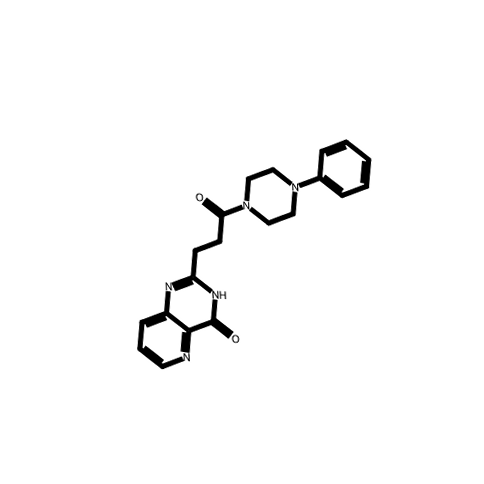 O=C(CCc1nc2cccnc2c(=O)[nH]1)N1CCN(c2ccccc2)CC1